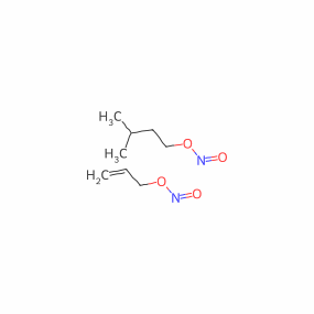 C=CCON=O.CC(C)CCON=O